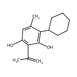 C=C(C)c1c(O)cc(C)c(C2CCCCC2)c1O